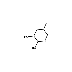 CC1COC(O)[C@@H](O)C1